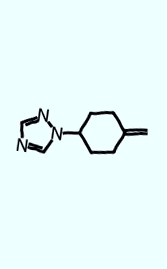 C=C1CCC(n2cncn2)CC1